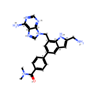 CN(C)C(=O)c1ccc(-c2cc(Cn3cnc4c(N)ncnc43)c3[nH]c(CN)cc3c2)cc1